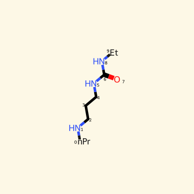 CCCNCCCNC(=O)NCC